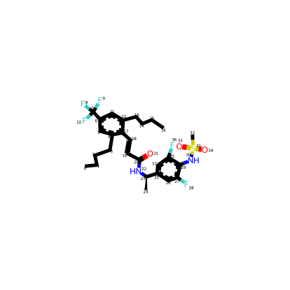 CCCCc1cc(C(F)(F)F)cc(CCCC)c1/C=C/C(=O)N[C@H](C)c1cc(F)c(NS(C)(=O)=O)c(F)c1